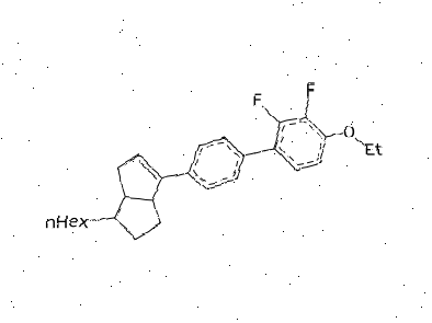 CCCCCCC1CCC2C(c3ccc(-c4ccc(OCC)c(F)c4F)cc3)=CCC12